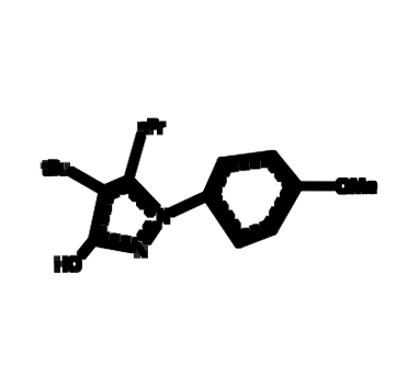 CCCc1c(C(C)(C)C)c(O)nn1-c1ccc(OC)cc1